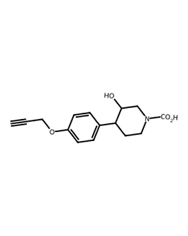 C#CCOc1ccc(C2CCN(C(=O)O)CC2O)cc1